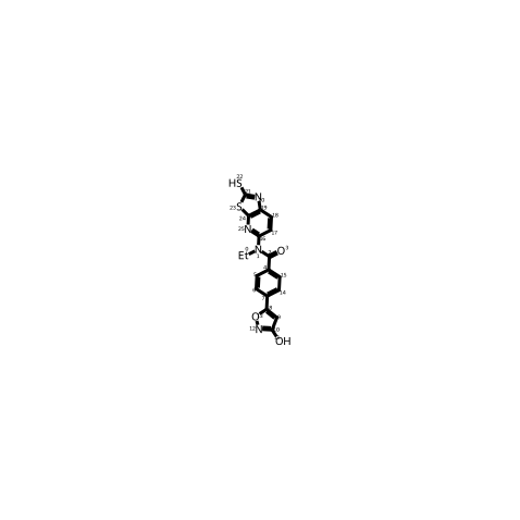 CCN(C(=O)c1ccc(-c2cc(O)no2)cc1)c1ccc2nc(S)sc2n1